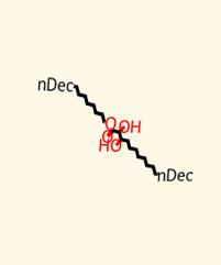 CCCCCCCCCCCCCCCCCCOC(=O)C(O)C(O)CCCCCCCCCCCCCCCCCC